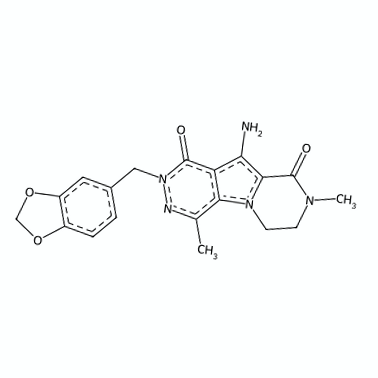 Cc1nn(Cc2ccc3c(c2)OCO3)c(=O)c2c(N)c3n(c12)CCN(C)C3=O